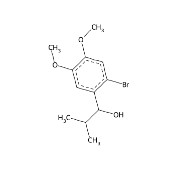 COc1cc(Br)c(C(O)C(C)C)cc1OC